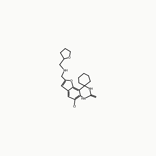 C=C1Nc2c(Cl)cc3cc(CNCC4CCCO4)oc3c2C2(CCCCC2)N1